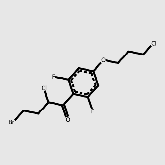 O=C(c1c(F)cc(OCCCCl)cc1F)C(Cl)CCBr